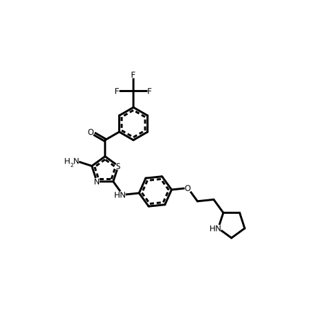 Nc1nc(Nc2ccc(OCCC3CCCN3)cc2)sc1C(=O)c1cccc(C(F)(F)F)c1